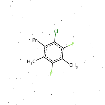 Cc1c(F)c(C)c(C(C)C)c(Cl)c1F